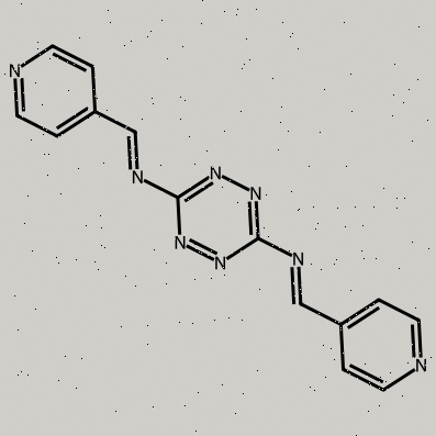 C(=N\c1nnc(/N=C/c2ccncc2)nn1)/c1ccncc1